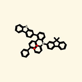 CC1(C)c2ccccc2-c2ccc(N(c3ccccc3)c3cccc(-c4ccc5c(c4)sc4ccccc45)c3-c3ccc(-c4ccccc4)cc3)cc21